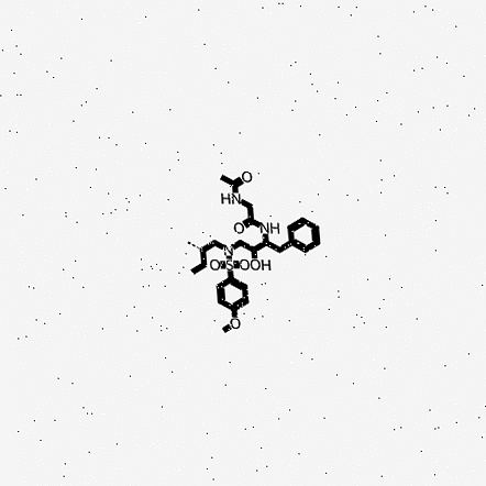 CC[C@H](C)CN(CC(O)C(Cc1ccccc1)NC(=O)CNC(C)=O)S(=O)(=O)c1ccc(OC)cc1